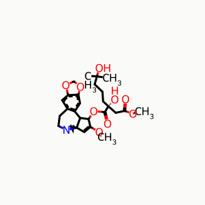 COC(=O)C[C@](O)(CCCC(C)(C)O)C(=O)OC1C(OC)=C[C@]23CCCN2CCc2cc4c(cc2C13)OCO4